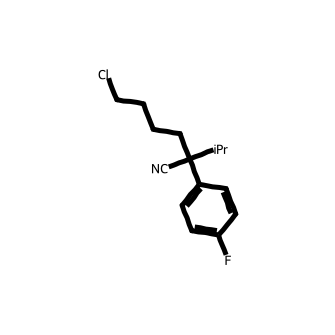 CC(C)C(C#N)(CCCCCl)c1ccc(F)cc1